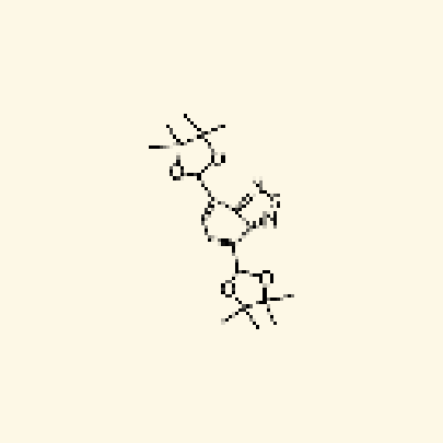 CC1(C)OC(c2ccc(C3OC(C)(C)C(C)(C)O3)c3nsnc23)OC1(C)C